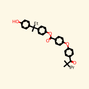 CCC(C)(c1ccc(O)cc1)c1ccc(OC(=O)c2ccc(Oc3ccc(C(=O)C(C)(C)C(C)C)cc3)cc2)cc1